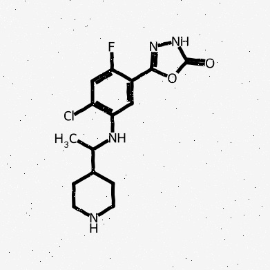 CC(Nc1cc(-c2n[nH]c(=O)o2)c(F)cc1Cl)C1CCNCC1